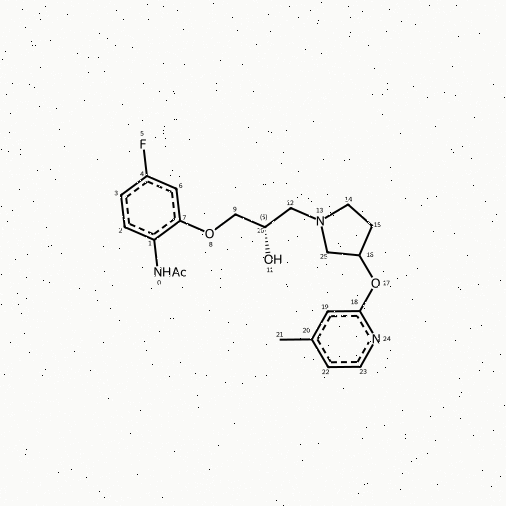 CC(=O)Nc1ccc(F)cc1OC[C@@H](O)CN1CCC(Oc2cc(C)ccn2)C1